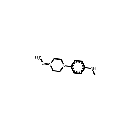 CNc1ccc(N2CCN(OP)CC2)cc1